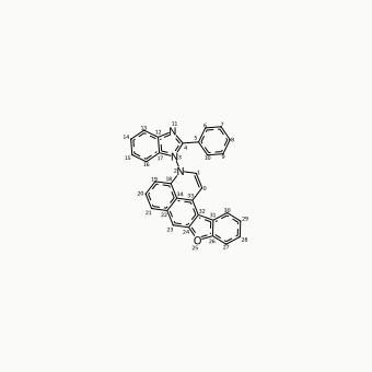 C1=CN(n2c(-c3ccccc3)nc3ccccc32)c2cccc3cc4oc5ccccc5c4c1c23